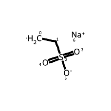 [CH2]CS(=O)(=O)[O-].[Na+]